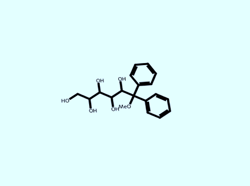 COC(c1ccccc1)(c1ccccc1)C(O)C(O)C(O)C(O)CO